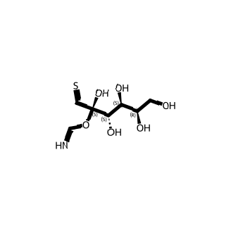 N=CO[C@](O)(C=S)[C@@H](O)[C@@H](O)[C@H](O)CO